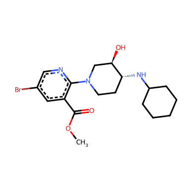 COC(=O)c1cc(Br)cnc1N1CC[C@@H](NC2CCCCC2)[C@H](O)C1